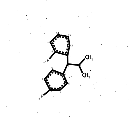 CC(C)C(c1ccc(F)cc1)c1ccccc1F